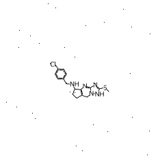 CSC1=NC2=NC3=C(CCC3NCc3ccc(Cl)cc3)CN2N1